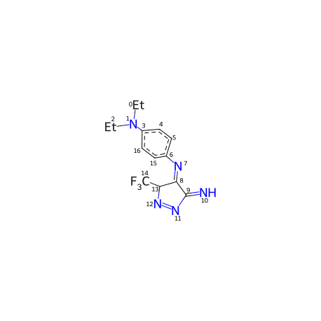 CCN(CC)c1ccc(N=C2C(=N)N=NC2C(F)(F)F)cc1